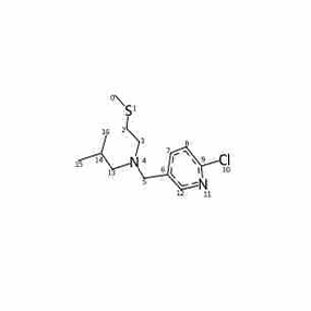 CSCCN(Cc1ccc(Cl)nc1)CC(C)C